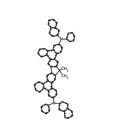 CC1(C)c2cc3c4ccc(N(c5ccccc5)c5ccc6ccccc6c5)cc4c4ccccc4c3cc2-c2cc3c4ccccc4c4cc(N(c5ccccc5)c5ccc6ccccc6c5)ccc4c3cc21